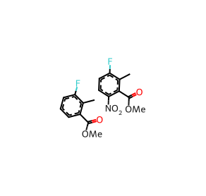 COC(=O)c1c([N+](=O)[O-])ccc(F)c1C.COC(=O)c1cccc(F)c1C